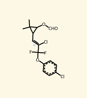 CC1(C)C(/C=C(\Cl)C(F)(F)Oc2ccc(Cl)cc2)C1OC=O